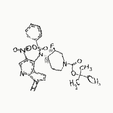 CC(C)(C)OC(=O)N1CC[C@H](N(c2c([N+](=O)[O-])cnc3[nH]ccc23)S(=O)(=O)c2ccccc2)[C@@H](F)C1